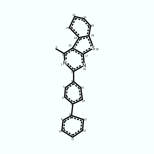 Cc1nc(-c2ccc(-c3ccccc3)cc2)nc2sc3ccccc3c12